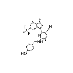 N#Cc1cnc(NCc2ccc(O)cc2)nc1-c1c[nH]c2ncc(C(F)(F)F)cc12